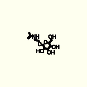 C=C(C)NCCOC1OC(CO)C(O)C(O)C1O